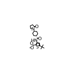 COC(=O)c1sc(C(C)(C)C)cc1NC(=O)[C@H]1CC[C@H](N2CCCC2=O)CC1